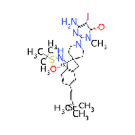 Cn1c(N2CCC3(CC2)Cc2cc(C#C[Si](C)(C)C)ccc2[C@H]3N[S+]([O-])C(C)(C)C)nc(N)c(I)c1=O